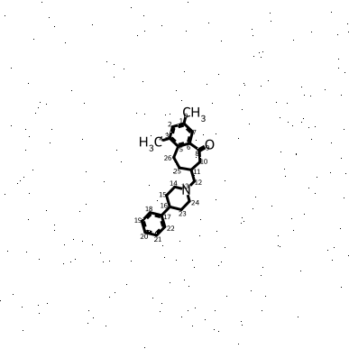 Cc1cc(C)c2c(c1)C(=O)CC(CN1CCC(c3ccccc3)CC1)CC2